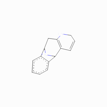 C1=CC2=C(CC3NC2c2ccccc23)NC1